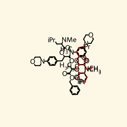 CNC(CC(C)C)C(=O)OC(Cc1ccc(N2CCOCC2)cc1)C(=O)N(C)C(CC(C)C)C(=O)OC(C)C(=O)N(C)C(CC(C)C)C(=O)OC(Cc1ccc(N2CCOCC2)cc1)C(=O)N(C)C(CC(C)C)C(=O)OC(C)C(=O)OCc1ccccc1